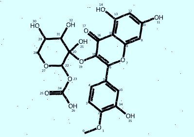 COc1ccc(-c2oc3cc(O)cc(O)c3c(=O)c2OC2(O)C(OC(=O)O)OCC(O)C2O)cc1O